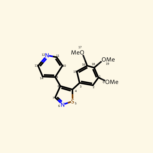 COc1cc(-c2sncc2-c2ccncc2)cc(OC)c1OC